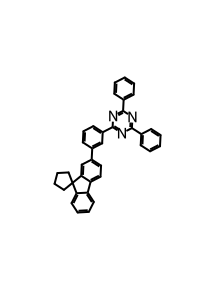 c1ccc(-c2nc(-c3ccccc3)nc(-c3cccc(-c4ccc5c(c4)C4(CCCC4)c4ccccc4-5)c3)n2)cc1